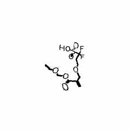 C=C(COCCC(F)(F)S(=O)(=O)O)C(=O)OCOCC